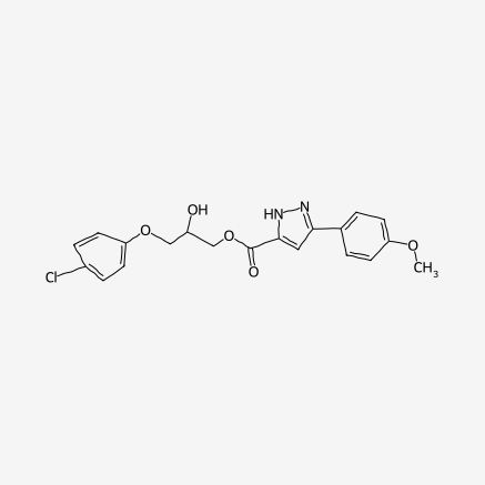 COc1ccc(-c2cc(C(=O)OCC(O)COc3ccc(Cl)cc3)[nH]n2)cc1